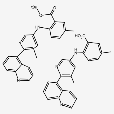 Cc1ccc(Nc2cnc(-c3cccc4ncccc34)c(C)c2)c(C(=O)O)c1.Cc1ccc(Nc2cnc(-c3cccc4ncccc34)c(C)c2)c(C(=O)OC(C)(C)C)c1